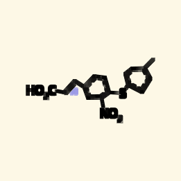 Cc1ccc(Sc2ccc(/C=C/C(=O)O)cc2[N+](=O)[O-])cc1